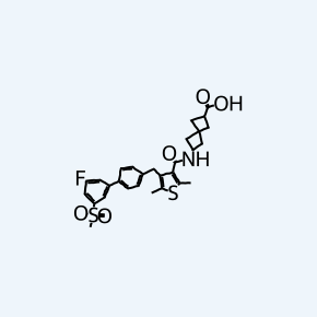 Cc1sc(C)c(C(=O)NC2CC3(C2)CC(C(=O)O)C3)c1Cc1ccc(-c2cc(F)cc(S(C)(=O)=O)c2)cc1